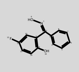 O/N=C(/c1ccccc1)c1cc(F)ccc1O